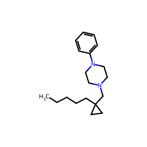 CCCCCC1(CN2CCN(c3ccccc3)CC2)CC1